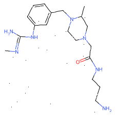 C/N=C(\N)Nc1cccc(CN2CCN(CC(=O)NCCCN)CC2C)c1